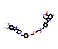 O=C(CCOCCOc1ccc(CN2CCC(O)(c3cc4cc([N+](=O)[O-])c(C(F)(F)F)cc4[nH]3)CC2)cc1)NCc1ccc(-c2[nH]c3cc(F)cc4c3c2CCNC4=O)cc1